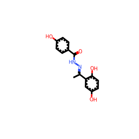 C/C(=N\NC(=O)c1ccc(O)cc1)c1cc(O)ccc1O